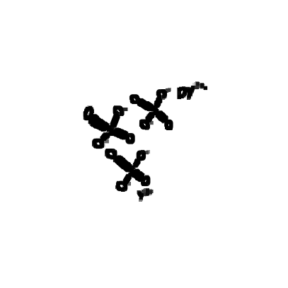 O=S(=O)([O-])[O-].O=S(=O)([O-])[O-].O=S(=O)([O-])[O-].[Dy+3].[Y+3]